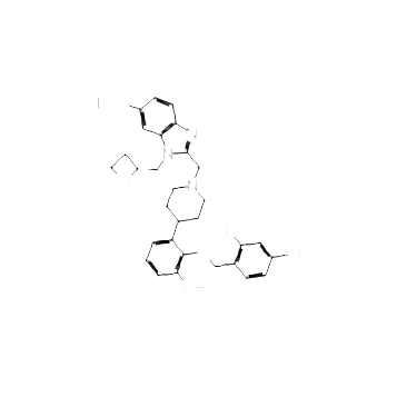 Cc1ccc2nc(CN3CCC(c4cccc(C)c4OCc4ccc(Cl)cc4F)CC3)n(C[C@@H]3CCO3)c2c1